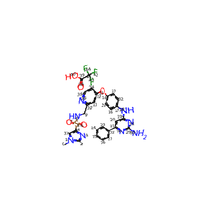 Cn1cnc(S(=O)(=O)NCc2cc(Oc3ccc(Nc4cc(-c5ccccc5)nc(N)n4)cc3)ccn2)c1.O=C(O)C(F)(F)F